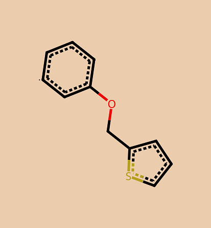 [c]1cccc(OCc2cccs2)c1